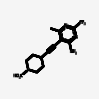 Cc1nc(C(F)(F)F)nc(N)c1C#CC1CCN(C(=O)O)CC1